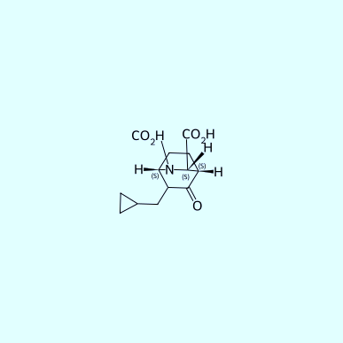 O=C1C(CC2CC2)[C@@H]2CC[C@H]1[C@@H](C(=O)O)N2C(=O)O